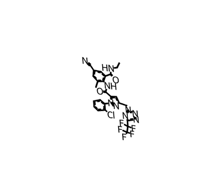 CCNC(=O)c1cc(C#N)cc(C)c1NC(=O)c1cc(Cn2nnc(C(F)(F)C(F)(F)F)n2)nn1-c1ccccc1Cl